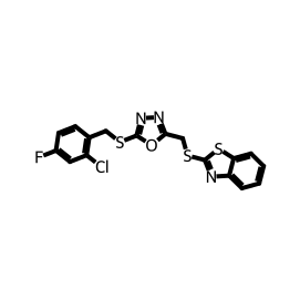 Fc1ccc(CSc2nnc(CSc3nc4ccccc4s3)o2)c(Cl)c1